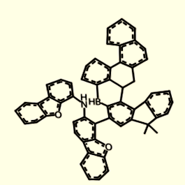 CC1(C)c2ccccc2-c2c1cc(-c1c(Nc3cccc4c3oc3ccccc34)ccc3c1oc1ccccc13)c1c2C2Cc3ccc4ccccc4c3-c3cccc(c32)B1